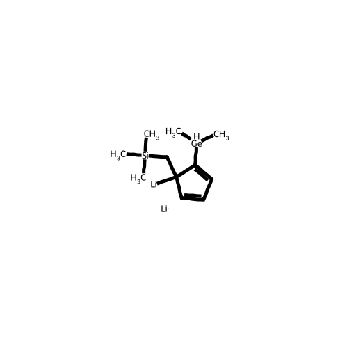 [Li].[Li][C]1(C[Si](C)(C)C)C=CC=[C]1[GeH]([CH3])[CH3]